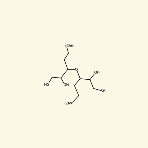 CCCCCCCCCCCCC(OC(CCCCCCCCCCCC)C(O)CS)C(O)CS